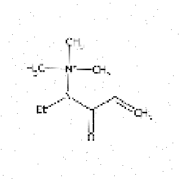 C=CC(=O)N(CC)[N+](C)(C)C